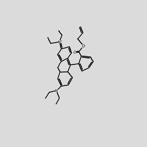 C=CCOC(=O)c1ccccc1C1=C2C=CC(=[N+](CC)CC)C=C2CC2C=C(N(CC)CC)C=CC12